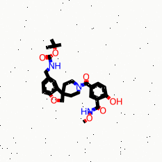 CONC(=O)c1cc(C(=O)N2CCC3(CC2)COc2ccc(CNC(=O)OC(C)(C)C)cc23)ccc1O